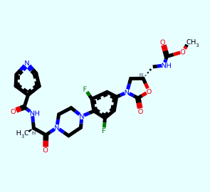 COC(=O)NC[C@H]1CN(c2cc(F)c(N3CCN(C(=O)[C@H](C)NC(=O)c4ccncc4)CC3)c(F)c2)C(=O)O1